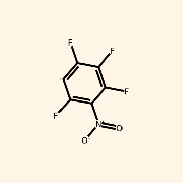 O=[N+]([O-])c1c(F)[c]c(F)c(F)c1F